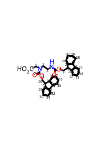 O=C(O)CN(CCNC(=O)OCC1c2ccccc2-c2ccccc21)C(=O)OCC1c2ccccc2-c2ccccc21